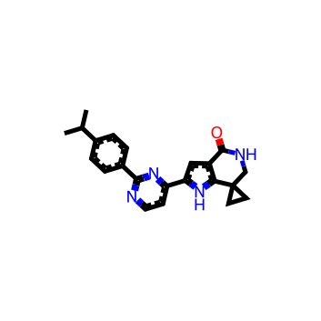 CC(C)c1ccc(-c2nccc(-c3cc4c([nH]3)C3(CC3)CNC4=O)n2)cc1